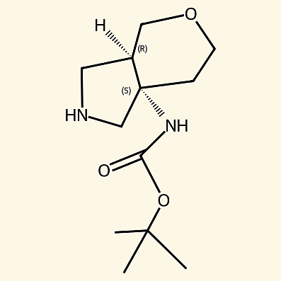 CC(C)(C)OC(=O)N[C@@]12CCOC[C@@H]1CNC2